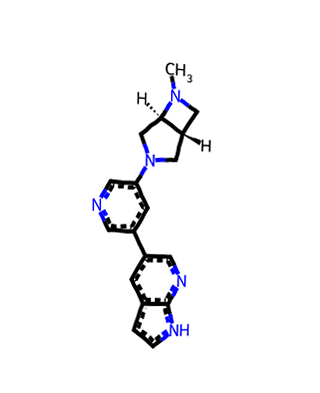 CN1C[C@@H]2CN(c3cncc(-c4cnc5[nH]ccc5c4)c3)C[C@H]21